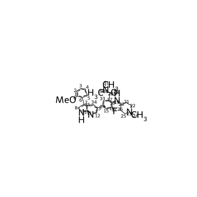 COc1ccccc1-c1c[nH]c2ncc(-c3cc(F)c(NC4CCN(C)CC4)c(C(=O)N(C)C)c3)cc12